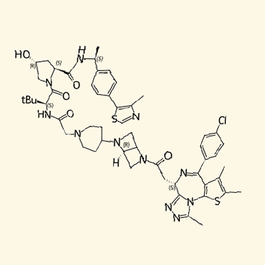 Cc1ncsc1-c1ccc([C@H](C)NC(=O)[C@@H]2C[C@@H](O)CN2C(=O)[C@@H](NC(=O)CN2CCC(N3CC4[C@H]3CN4C(=O)C[C@@H]3N=C(c4ccc(Cl)cc4)c4c(sc(C)c4C)-n4c(C)nnc43)CC2)C(C)(C)C)cc1